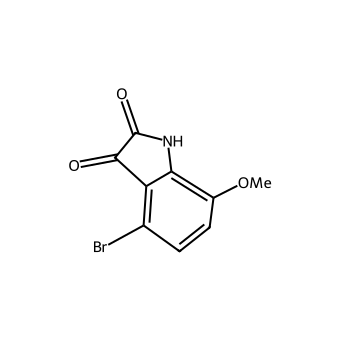 COc1ccc(Br)c2c1NC(=O)C2=O